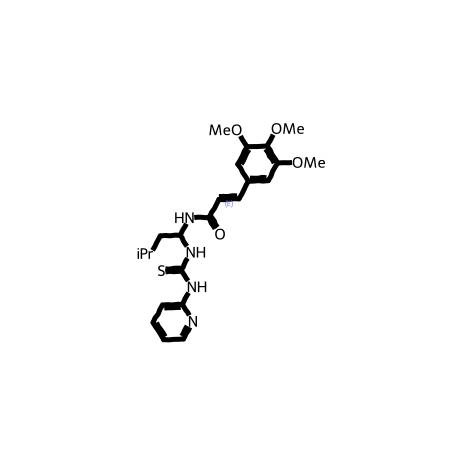 COc1cc(/C=C/C(=O)NC(CC(C)C)NC(=S)Nc2ccccn2)cc(OC)c1OC